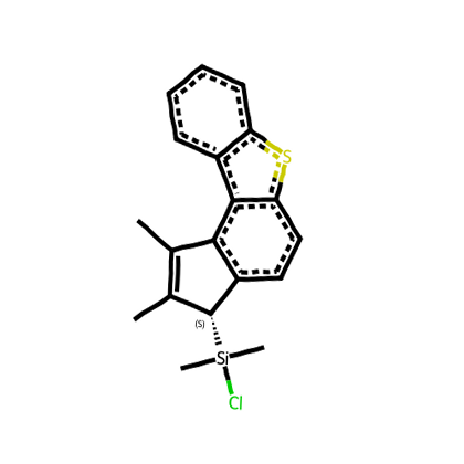 CC1=C(C)[C@@H]([Si](C)(C)Cl)c2ccc3sc4ccccc4c3c21